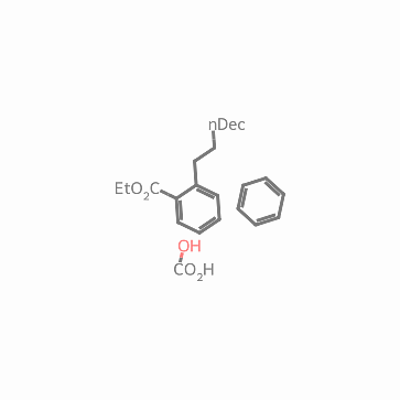 CCCCCCCCCCCCc1ccccc1C(=O)OCC.O=C(O)O.c1ccccc1